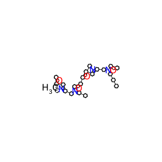 CC12C=CC=CC1n1c3ccc(-c4cccc(N(c5ccc(-c6ccccc6)cc5)c5cccc6c5oc5ccc(-c7ccc8c(c7)oc7c9c(ccc78)-c7ccccc7-n7c8ccc(-c%10ccc(N(c%11ccc(-c%12ccc(-c%13ccccc%13)cc%12)cc%11)c%11cccc%12c%11oc%11ccccc%11%12)cc%10)cc8c8cccc-9c87)cc56)c4)cc3c3cccc(c31)-c1c2ccc2c1oc1ccccc12